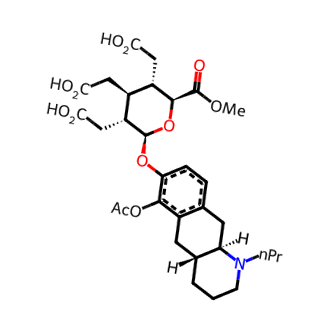 CCCN1CCC[C@@H]2Cc3c(ccc(O[C@@H]4O[C@H](C(=O)OC)[C@@H](CC(=O)O)[C@H](CC(=O)O)[C@H]4CC(=O)O)c3OC(C)=O)C[C@H]21